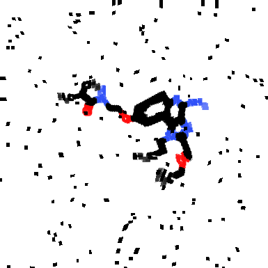 CCCn1c(COCC)nc2c(N)nc3ccc(OCCNC(=O)C(C)C)cc3c21